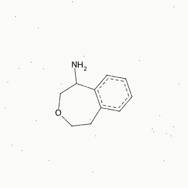 NC1COCCc2ccccc21